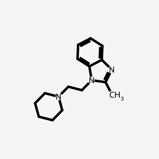 Cc1nc2ccccc2n1CCN1CCCCC1